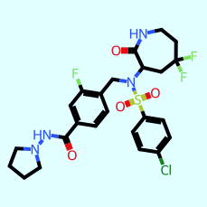 O=C(NN1CCCC1)c1ccc(CN(C2CC(F)(F)CCNC2=O)S(=O)(=O)c2ccc(Cl)cc2)c(F)c1